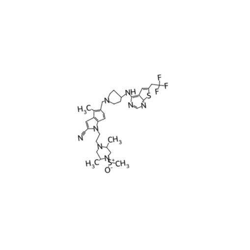 Cc1c(CN2CCC(Nc3ncnc4sc(CC(F)(F)F)cc34)CC2)ccc2c1cc(C#N)n2CCN1CC(C)N([S+](C)[O-])CC1C